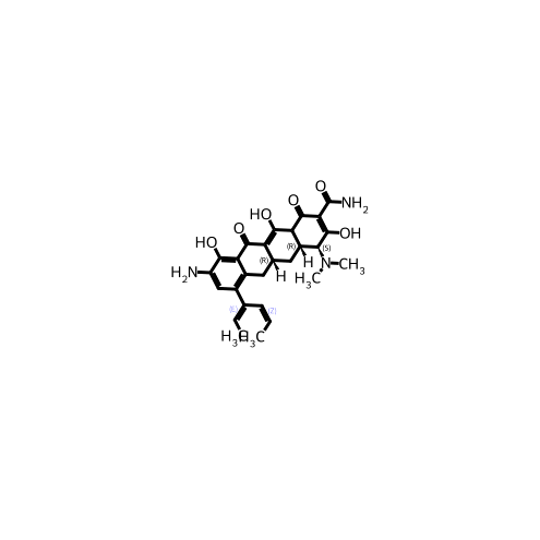 C/C=C\C(=C/C)c1cc(N)c(O)c2c1C[C@H]1C[C@@H]3C(C(=O)C(C(N)=O)=C(O)[C@H]3N(C)C)C(O)=C1C2=O